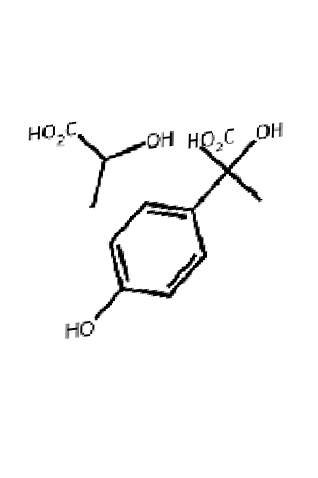 CC(O)(C(=O)O)c1ccc(O)cc1.CC(O)C(=O)O